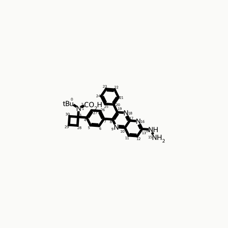 CC(C)(C)N(C(=O)O)C1(c2ccc(-c3nc4ccc(NN)nc4nc3-c3ccccc3)cc2)CCC1